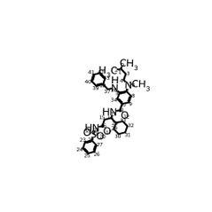 CC(C)CCN(C)c1ccc(C(=O)NC(CC(=O)NS(=O)(=O)c2ccccc2)C2CCCCC2)cc1NCc1ccccc1